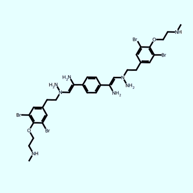 CNCCOc1c(Br)cc(CCN(N)/C=C(\N)c2ccc(/C(N)=C/N(N)CCc3cc(Br)c(OCCNC)c(Br)c3)cc2)cc1Br